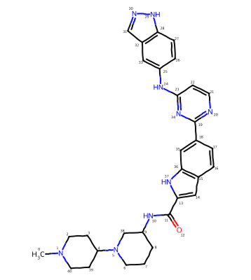 CN1CCC(N2CCCC(NC(=O)c3cc4ccc(-c5nccc(Nc6ccc7[nH]ncc7c6)n5)cc4[nH]3)C2)CC1